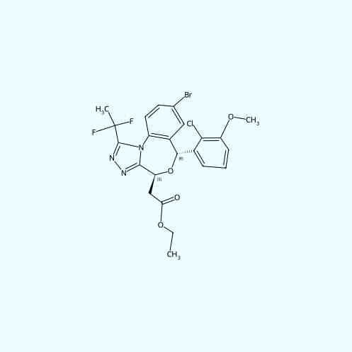 CCOC(=O)C[C@@H]1O[C@@H](c2cccc(OC)c2Cl)c2cc(Br)ccc2-n2c1nnc2C(C)(F)F